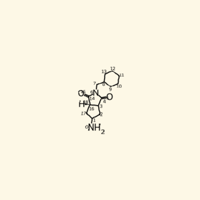 NC1CC2C(=O)N(CC3CCCCC3)C(=O)[C@H]2C1